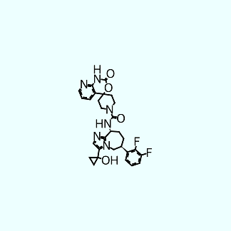 O=C1Nc2ncccc2C2(CCN(C(=O)N[C@@H]3CC[C@@H](c4cccc(F)c4F)Cn4c(C5(O)CC5)cnc43)CC2)O1